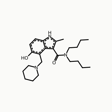 CCCCN(CCCC)C(=O)c1c(C)[nH]c2ccc(O)c(CN3CCCCC3)c12